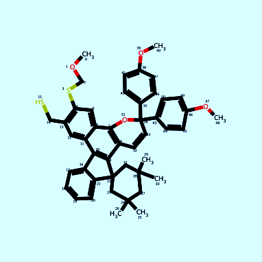 COCSc1cc2c3c(c4c(c2cc1CS)-c1ccccc1C41CC(C)(C)CC(C)(C)C1)C=CC(c1ccc(OC)cc1)(c1ccc(OC)cc1)O3